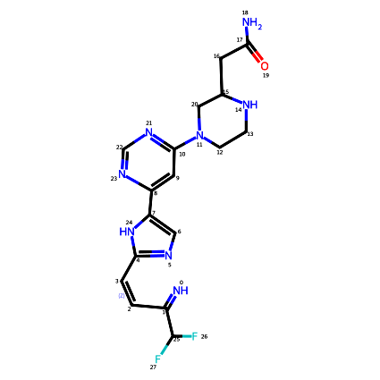 N=C(/C=C\c1ncc(-c2cc(N3CCNC(CC(N)=O)C3)ncn2)[nH]1)C(F)F